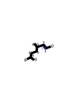 C/C=C/C(C)CCC(C)C